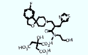 CN(CCO)C(=O)C(Cc1cscn1)CN1CCC2(CC1)OCc1ccc(F)cc12.O=C(O)CC(O)(CC(=O)O)C(=O)O